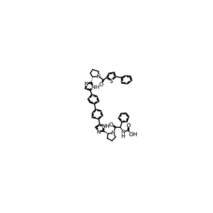 O=C(O)N[C@@H](C(=O)N1CCC[C@H]1c1ncc(-c2ccc(-c3ccc(-c4cnc([C@@H]5CCCN5C(=O)c5ccc(-c6ccccc6)s5)[nH]4)cc3)cc2)[nH]1)c1ccccc1